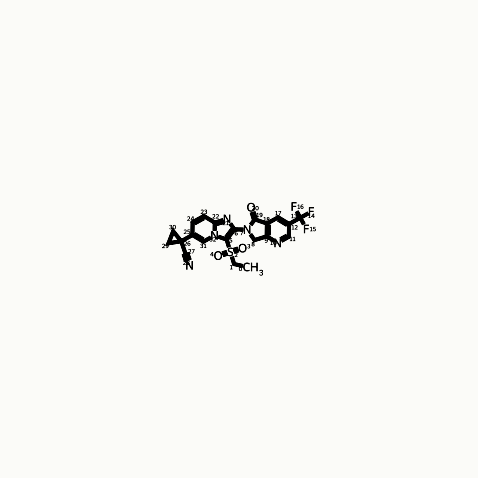 CCS(=O)(=O)c1c(N2Cc3ncc(C(F)(F)F)cc3C2=O)nc2ccc(C3(C#N)CC3)cn12